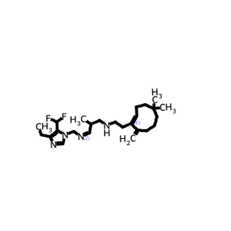 C=C1CCCC(C)(C)CC/C=C/1CCNCC(C)/C=N\Cn1cnc(CC)c1C(F)F